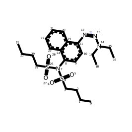 CCCCS(=O)(=O)N(c1ccc(/N=N\N(CC)CC)c2ccccc12)S(=O)(=O)CCCC